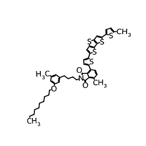 CCCCCCCCCCOc1cc(C)cc(CCCCN2C(=O)c3c(C)ccc(-c4ccc(-c5cc6sc7cc(-c8ccc(C)s8)sc7c6s5)s4)c3C2=O)c1